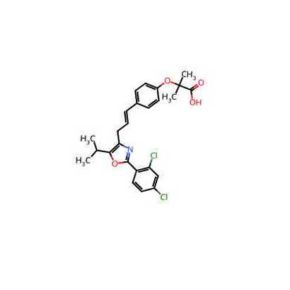 CC(C)c1oc(-c2ccc(Cl)cc2Cl)nc1C/C=C/c1ccc(OC(C)(C)C(=O)O)cc1